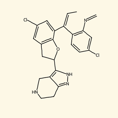 C=Nc1cc(Cl)ccc1/C(=C\C)c1cc(Cl)cc2c1OC(c1[nH]nc3c1CNCC3)C2